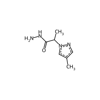 Cc1cnn(C(C)C(=O)NN)c1